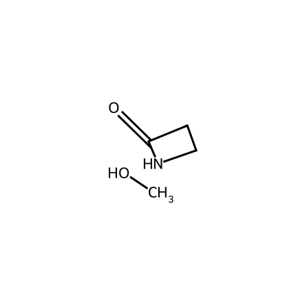 CO.O=C1CCN1